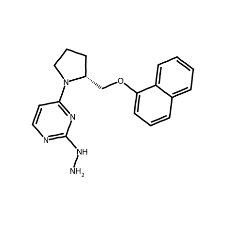 NNc1nccc(N2CCC[C@@H]2COc2cccc3ccccc23)n1